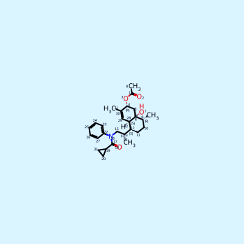 CC(=O)O[C@@H]1[C][C@@]2(O)[C@H](C)CC[C@@H]([C@H](C)CN(C(=O)C3CC3)c3ccccc3)[C@H]2C=C1C